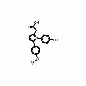 COc1ccc(-c2ccc(CC(=O)O)n2-c2ccc(O)cc2)cc1